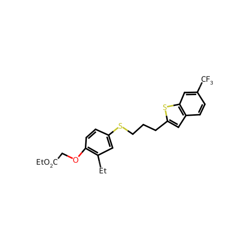 CCOC(=O)COc1ccc(SCCCc2cc3ccc(C(F)(F)F)cc3s2)cc1CC